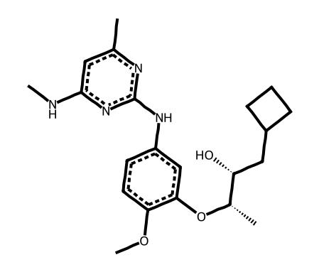 CNc1cc(C)nc(Nc2ccc(OC)c(O[C@@H](C)[C@H](O)CC3CCC3)c2)n1